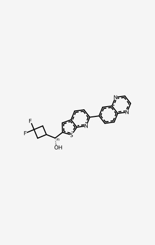 O[C@@H](c1cc2ccc(-c3ccc4nccnc4c3)nc2s1)C1CC(F)(F)C1